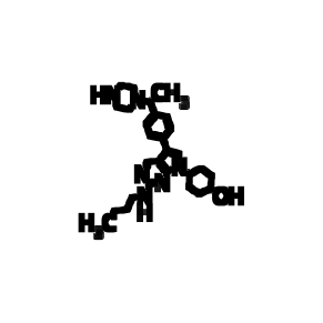 CCCCNc1ncc2c(-c3ccc([C@@H](C)N4CCNCC4)cc3)cn([C@H]3CC[C@H](O)CC3)c2n1